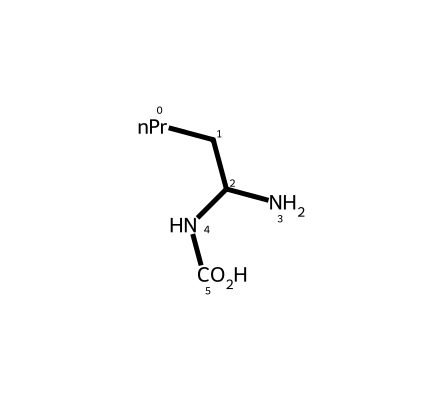 CCCCC(N)NC(=O)O